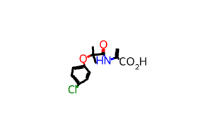 C=C(NC(=O)C(C)(C)Oc1ccc(Cl)cc1)C(=O)O